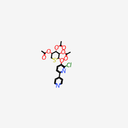 CC(=O)O[C@@H]1[C@@H](OC(C)=O)[C@@H](Oc2ccc(-c3ccncc3)nc2Cl)SC[C@H]1OC(C)=O